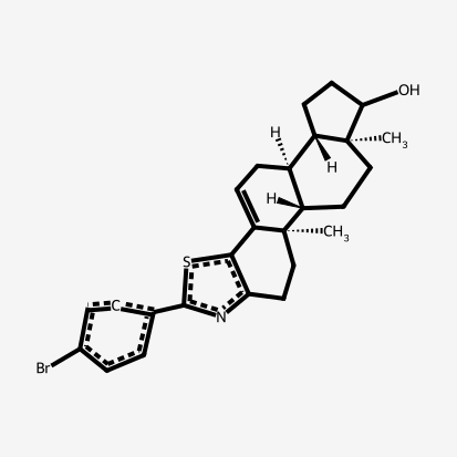 C[C@]12CCc3nc(-c4ccc(Br)cc4)sc3C1=CC[C@@H]1[C@@H]2CC[C@]2(C)C(O)CC[C@@H]12